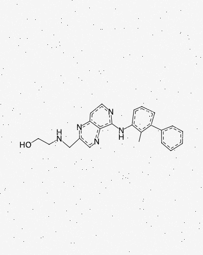 Cc1c(Nc2nccc3nc(CNCCO)cnc23)cccc1-c1ccccc1